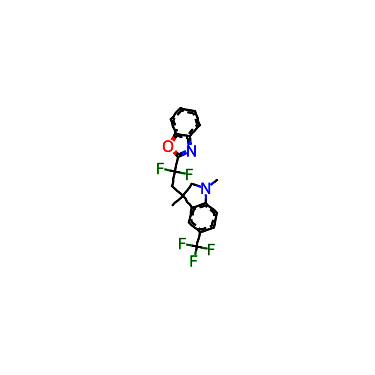 CN1CC(C)(CC(F)(F)c2nc3ccccc3o2)c2cc(C(F)(F)F)ccc21